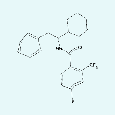 O=C(NC(Cc1ccccc1)C1CCCCC1)c1ccc(F)cc1C(F)(F)F